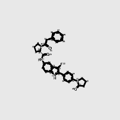 O=C(Nc1ccc2[nH]c(-c3ccc(N4CCCC4=O)cc3)c(F)c2c1)[C@@H]1CCCN1C(=O)[CH]c1ccccc1